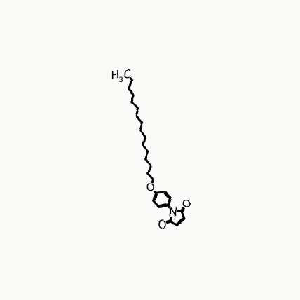 CCCCCCCCCCCCCCCCOc1ccc(N2C(=O)C=CC2=O)cc1